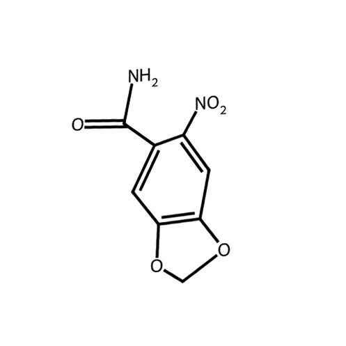 NC(=O)c1cc2c(cc1[N+](=O)[O-])OCO2